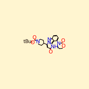 CC(C)(C)OC(=O)N1CCC(c2cc(=O)[nH]c3c4c(N5CCCOC5=O)cccc4nn23)CC1